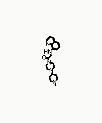 CN1CCC(N2CCN(C(=O)CNc3cccc4cccnc34)CC2)CC1